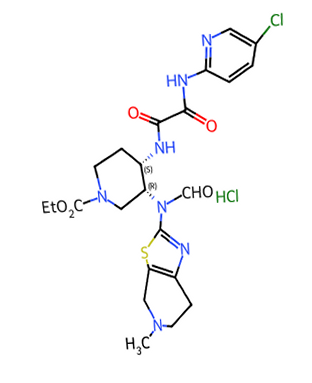 CCOC(=O)N1CC[C@H](NC(=O)C(=O)Nc2ccc(Cl)cn2)[C@H](N(C=O)c2nc3c(s2)CN(C)CC3)C1.Cl